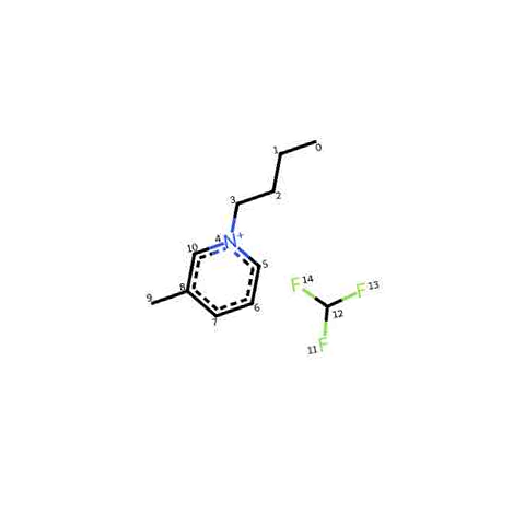 CCCC[n+]1cccc(C)c1.FC(F)F